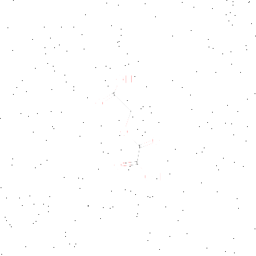 O=C(O)COC(=O)C(=O)O